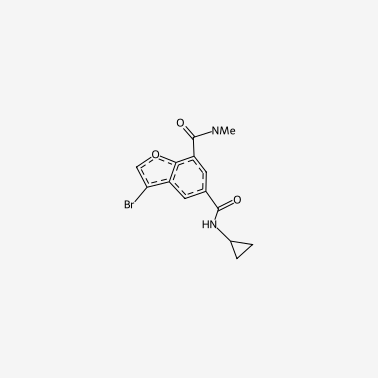 CNC(=O)c1cc(C(=O)NC2CC2)cc2c(Br)coc12